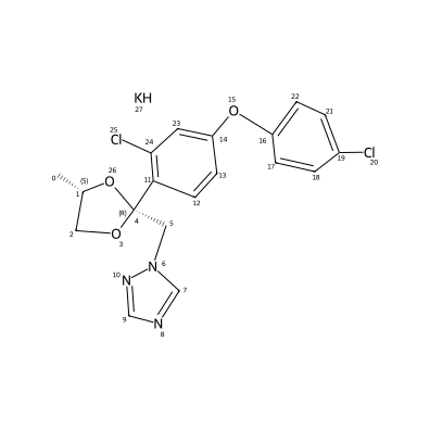 C[C@H]1CO[C@](Cn2cncn2)(c2ccc(Oc3ccc(Cl)cc3)cc2Cl)O1.[KH]